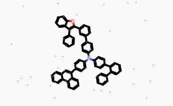 c1ccc(-c2ccccc2-c2ccc(N(c3ccc(-c4cccc(-c5oc6ccccc6c5-c5ccccc5)c4)cc3)c3ccc(-c4cc5ccccc5c5ccccc45)cc3)cc2)cc1